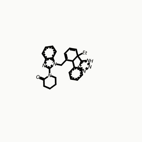 CCC1(c2nnn[nH]2)C=CC=C(Cn2c(N3CCCCC3=O)nc3ccccc32)C1c1ccccc1